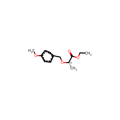 CCOC(=O)[C@H](C)OCc1ccc(OC)cc1